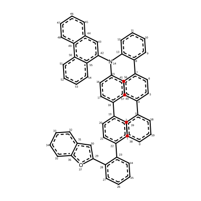 c1ccc(-c2ccc(-c3ccccc3N(c3ccc(-c4ccc(-c5ccccc5-c5cc6ccccc6o5)cc4)cc3)c3cc4ccccc4c4ccccc34)cc2)cc1